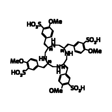 COc1ccc(C[C@@H]2CN[C@H](Cc3ccc(OC)c(S(=O)(=O)O)c3)CN[C@H](Cc3ccc(OC)c(S(=O)(=O)O)c3)CN[C@H](Cc3ccc(OC)c(S(=O)(=O)O)c3)CN2)cc1S(=O)(=O)O